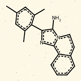 Cc1cc(C)c(-c2nc3c4ccccc4ccn3c2N)c(C)c1